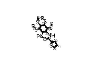 O=C(Nc1c(SF)c(SF)c(SF)c(SF)c1SF)c1cccs1